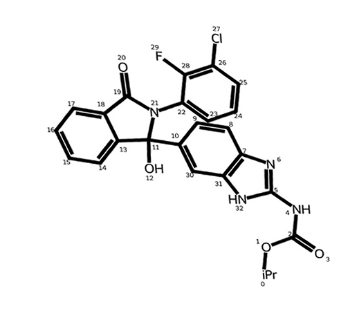 CC(C)OC(=O)Nc1nc2ccc(C3(O)c4ccccc4C(=O)N3c3cccc(Cl)c3F)cc2[nH]1